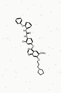 COc1cc2c(Oc3ccc(NC(=O)Nc4ccccc4Oc4ccccc4)c(Cl)c3)ncnc2cc1OCCCN1CCCC1